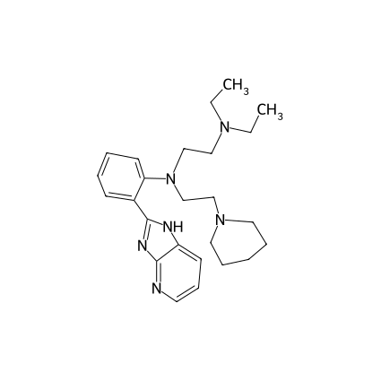 CCN(CC)CCN(CCN1CCCCC1)c1ccccc1-c1nc2ncccc2[nH]1